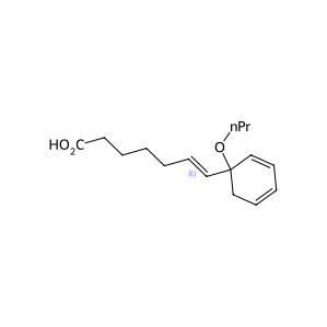 CCCOC1(/C=C/CCCCC(=O)O)C=CC=CC1